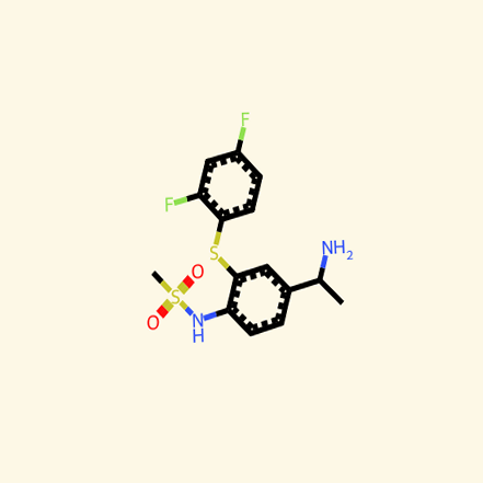 CC(N)c1ccc(NS(C)(=O)=O)c(Sc2ccc(F)cc2F)c1